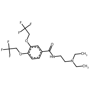 CCN(CC)CCNC(=O)c1ccc(OCC(F)(F)F)c(OCC(F)(F)F)c1